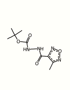 Cc1nonc1C(=O)NNC(=O)OC(C)(C)C